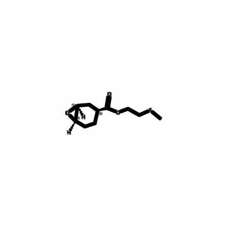 CSCCOC(=O)[C@H]1CC[C@H]2O[C@H]2C1